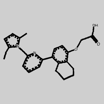 Cc1ccc(C)n1-c1cccc(-c2ccc(OCC(=O)O)c3c2CCCC3)n1